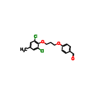 Cc1cc(Cl)c(OCCCOc2ccc(C=O)cc2)c(Cl)c1